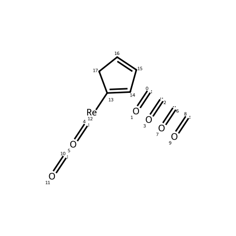 [C]=O.[C]=O.[C]=O.[C]=O.[C]=O.[C]=O.[Re][C]1=CC=CC1